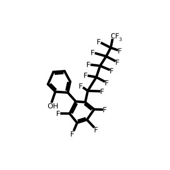 Oc1ccccc1-c1c(F)c(F)c(F)c(F)c1C(F)(F)C(F)(F)C(F)(F)C(F)(F)C(F)(F)C(F)(F)F